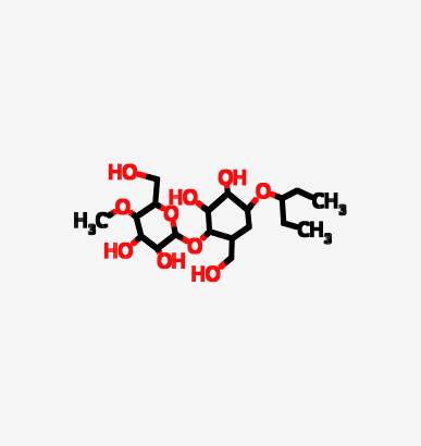 CCC(CC)OC1CC(CO)C(OC2OC(CO)C(OC)C(O)C2O)C(O)C1O